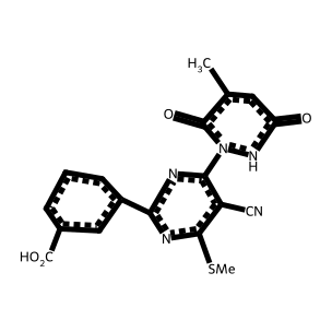 CSc1nc(-c2cccc(C(=O)O)c2)nc(-n2[nH]c(=O)cc(C)c2=O)c1C#N